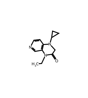 CCN1C(=O)CN(C2CC2)c2ccncc21